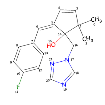 CC1(C)C=CC(=Cc2ccc(F)cc2)C1(O)Cn1cncn1